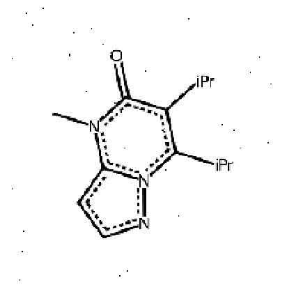 CC(C)c1c(C(C)C)n2nccc2n(C)c1=O